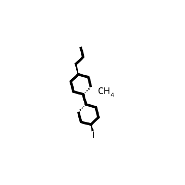 C.CCC[C@H]1CC[C@H]([C@H]2CC[C@H](I)CC2)CC1